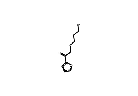 O=C(CCCCCBr)c1cccs1